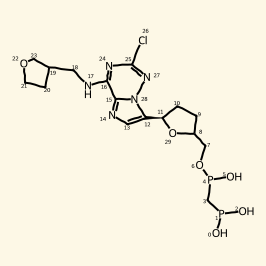 OP(O)CP(O)OCC1CC[C@H](c2cnc3c(NCC4CCOC4)nc(Cl)nn23)O1